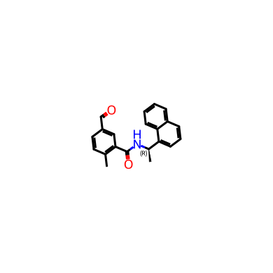 Cc1ccc(C=O)cc1C(=O)N[C@H](C)c1cccc2ccccc12